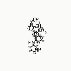 CCn1ncc(-c2nc3c(NC4CCCNC4)ncnc3n2C)c1C